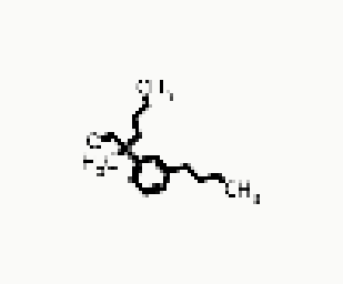 CCCCc1cccc(C(C)(C=O)CCCC)c1